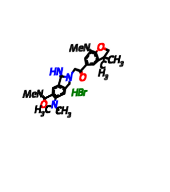 Br.CNC(=O)c1cc2c(cc1N(C)C)CN(CC(=O)c1cc(NC)c3c(c1)C(C)(C)CO3)C2=N